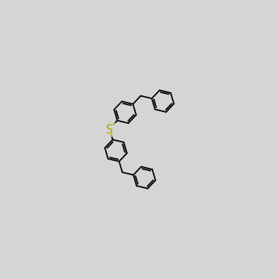 c1ccc(Cc2ccc(Sc3ccc(Cc4ccccc4)cc3)cc2)cc1